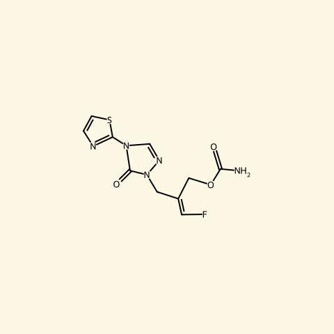 NC(=O)OC/C(=C\F)Cn1ncn(-c2nccs2)c1=O